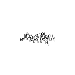 CC(C)(C)OC(=O)C(O)[C@@]1(C)OCCN(c2ccn(-c3ccnc(C#N)c3)n2)C1=O